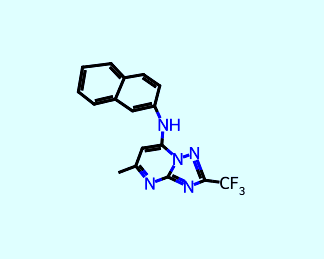 Cc1cc(Nc2ccc3ccccc3c2)n2nc(C(F)(F)F)nc2n1